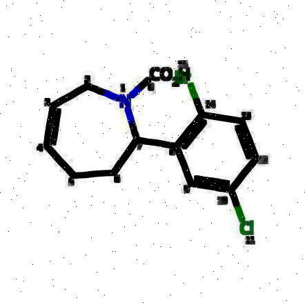 O=C(O)N1CC=CCCC1c1cc(Cl)ccc1Br